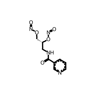 O=NOC[C@@H](CNC(=O)c1cccnc1)ON=O